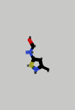 Cc1cc(N[C]=O)sn1